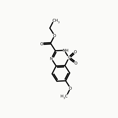 CCOC(=O)C1=Nc2ccc(OC)cc2S(=O)(=O)N1